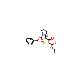 CCOC(=O)CC(=O)[C@@H](S)[C@]1(C)CCCN1C(=O)OCc1ccccc1